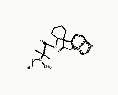 CNC(=S)C1(c2ccc3nccn3c2)CCCCC1OC(=O)C(C)(C)N(C=O)OC(C)(C)C